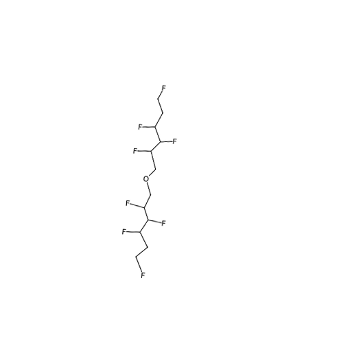 FCCC(F)C(F)C(F)COCC(F)C(F)C(F)CCF